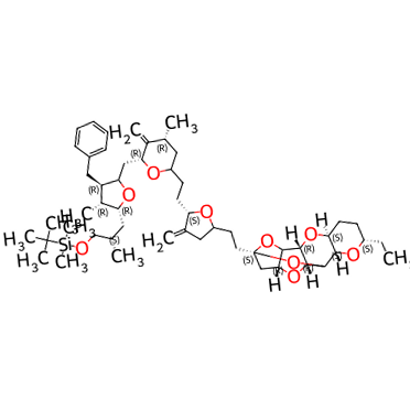 C=C1CC(CC[C@@]23C[C@H]4O[C@H]5C(O2)[C@H]2O[C@@H](CC)CC[C@@H]2O[C@H]5C4O3)O[C@H]1CCC1C[C@@H](C)C(=C)[C@@H](CC2O[C@H](C[C@H](C)CO[Si](C)(C)C(C)(C)C)[C@H](C)[C@H]2Cc2ccccc2)O1